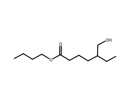 CCCCOC(=O)CCCC(CC)CO